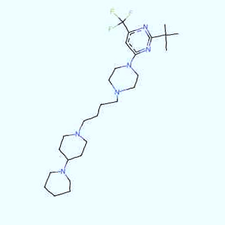 CC(C)(C)c1nc(N2CCN(CCCCN3CCC(N4CCCCC4)CC3)CC2)cc(C(F)(F)F)n1